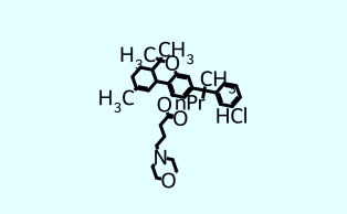 CCCC(C)(c1ccccc1)c1cc(OC(=O)CCCN2CCOCC2)c2c(c1)OC(C)(C)C1CCC(C)=CC21.Cl